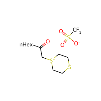 CCCCCCC(=O)C[S+]1CCSCC1.O=S(=O)([O-])C(F)(F)F